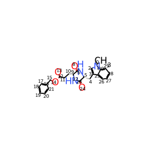 Cn1cc(C[C@H]2NC(=O)[C@@H](CCC(=O)OCc3ccccc3)NC2=O)c2ccccc21